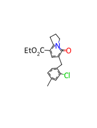 CCOC(=O)c1cc(Cc2ccc(C)cc2Cl)c(=O)n2c1CCC2